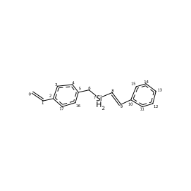 C=Cc1ccc(C[SiH2]C=Cc2ccccc2)cc1